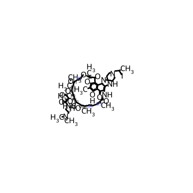 CO[C@H]1/C=C/O[C@@]2(C)Oc3c(C)c(O)c4c(c3C2=O)C2=NC3(CCN(CC(C)I)CC3)NC2=C(NC(=O)/C(C)=C\C=C\[C@H](C)[C@H](O)[C@@H](C)[C@@H](O)[C@@H](C)[C@H](OC(=O)CC(=O)NCCN(C)C)[C@@H]1C)C4=O